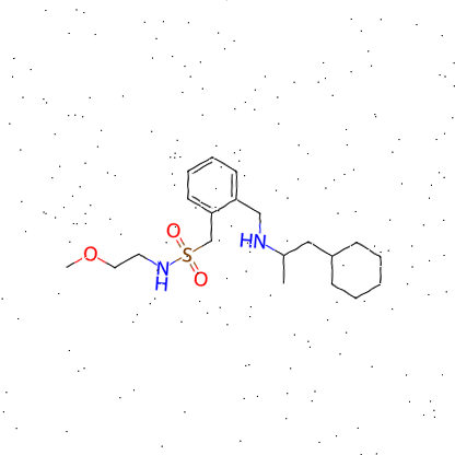 COCCNS(=O)(=O)Cc1ccccc1CNC(C)CC1CCCCC1